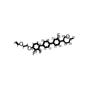 C=COCCOc1ccc(-c2ccc(-c3ccc(C4CCC(C)OC4)c(F)c3)cc2)c(F)c1F